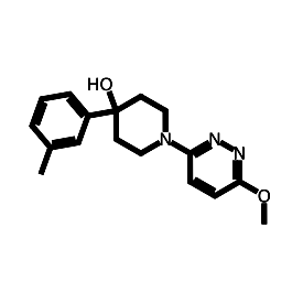 COc1ccc(N2CCC(O)(c3cccc(C)c3)CC2)nn1